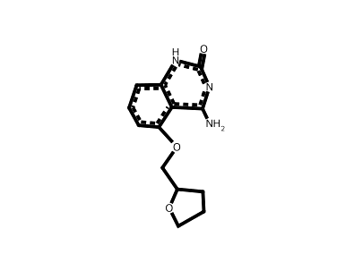 Nc1nc(=O)[nH]c2cccc(OCC3CCCO3)c12